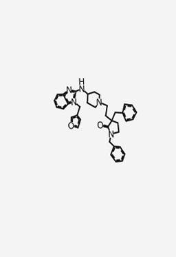 O=C1N(Cc2ccccc2)CCC1(CCN1CCC(Nc2nc3ccccc3n2Cc2ccoc2)CC1)Cc1ccccc1